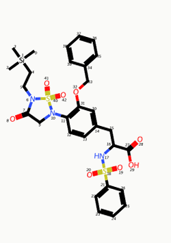 C[Si](C)(C)CCN1C(=O)CN(c2ccc(CC(NS(=O)(=O)c3ccccc3)C(=O)O)cc2OCc2ccccc2)S1(=O)=O